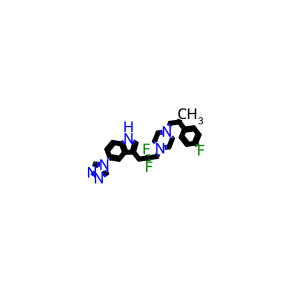 CC(CN1CCN(CC(F)(F)Cc2c[nH]c3ccc(-n4cnnc4)cc23)CC1)c1ccc(F)cc1